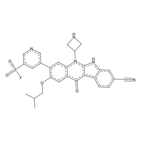 CC(C)COc1cc2c(=O)c3c4ccc(C#N)cc4[nH]c3n(C3CNC3)c2cc1-c1cncc(S(=O)(=O)F)c1